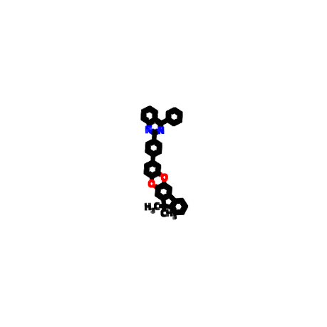 CC1(C)c2ccccc2-c2cc3c(cc21)Oc1ccc(-c2ccc(-c4nc(-c5ccccc5)c5ccccc5n4)cc2)cc1O3